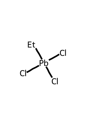 C[CH2][Pb]([Cl])([Cl])[Cl]